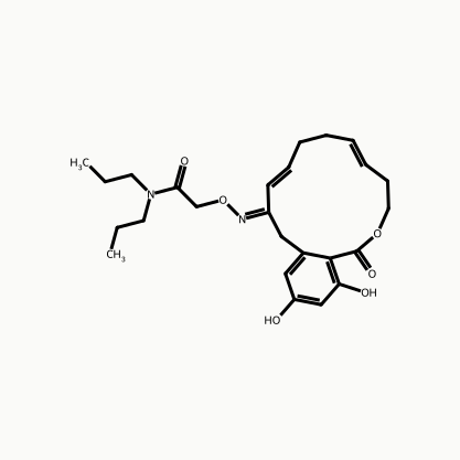 CCCN(CCC)C(=O)CO/N=C1\C=C\CC/C=C/CCOC(=O)c2c(O)cc(O)cc2C1